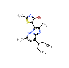 CCC(CC)c1cc(C)nn2c(-c3sc(C)nc3Br)c(C)nc12